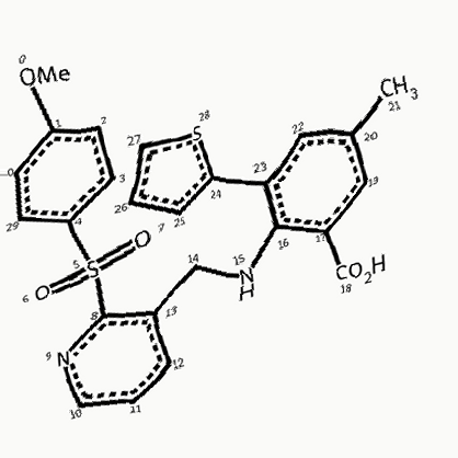 COc1ccc(S(=O)(=O)c2ncccc2CNc2c(C(=O)O)cc(C)cc2-c2cccs2)cc1